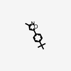 Cc1cc(-c2ccc(C(C)(C)C)cc2)on1